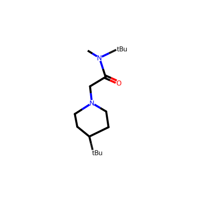 CN(C(=O)CN1CCC(C(C)(C)C)CC1)C(C)(C)C